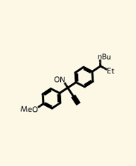 C#CC(N=O)(c1ccc(OC)cc1)c1ccc(C(CC)CCCC)cc1